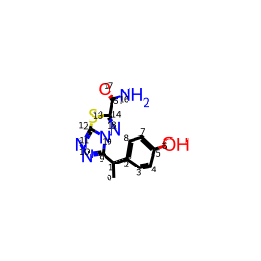 CC(c1ccc(O)cc1)c1nnc2sc(C(N)=O)nn12